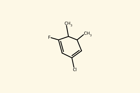 CC1C=C(Cl)C=C(F)C1C